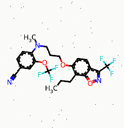 CCCc1c(OCCCN(C)c2ccc(C#N)cc2OC(F)(F)F)ccc2c(C(F)(F)F)noc12